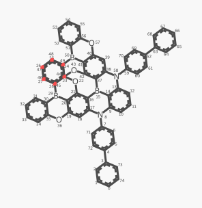 c1ccc(-c2ccc(N3c4cccc5c4B(c4c3cc3c6c4Oc4ccccc4B6c4ccccc4O3)c3c(cc4c6c3Oc3ccccc3B6c3ccccc3O4)N5c3ccc(-c4ccccc4)cc3)cc2)cc1